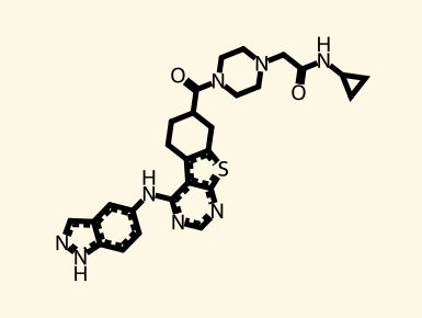 O=C(CN1CCN(C(=O)C2CCc3c(sc4ncnc(Nc5ccc6[nH]ncc6c5)c34)C2)CC1)NC1CC1